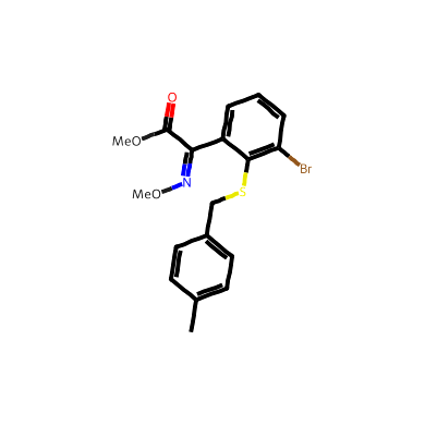 CON=C(C(=O)OC)c1cccc(Br)c1SCc1ccc(C)cc1